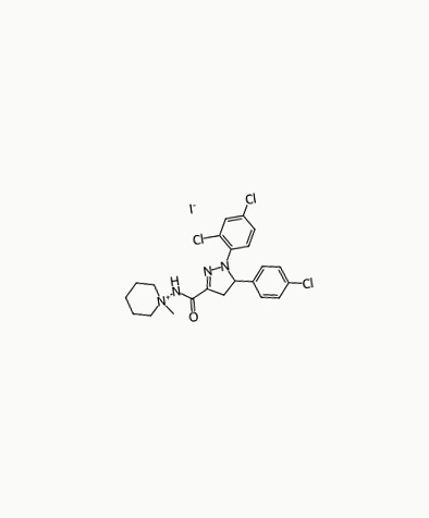 C[N+]1(NC(=O)C2=NN(c3ccc(Cl)cc3Cl)C(c3ccc(Cl)cc3)C2)CCCCC1.[I-]